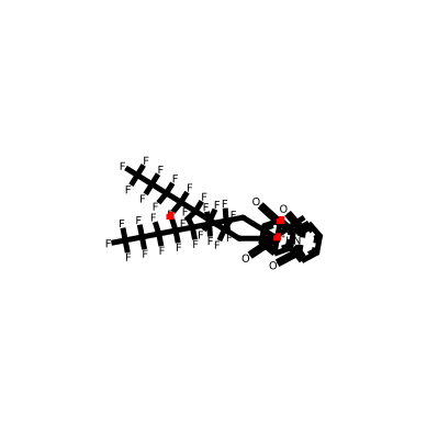 O=C1c2ccc(c3c4ccc(c(=O)[nH]c4=O)c23)C(=O)[N+]1(CC(F)(F)C(F)(F)C(F)(F)C(F)(F)C(F)(F)C(F)(F)C(F)(F)F)CC(F)(F)C(F)(F)C(F)(F)C(F)(F)C(F)(F)C(F)(F)C(F)(F)F